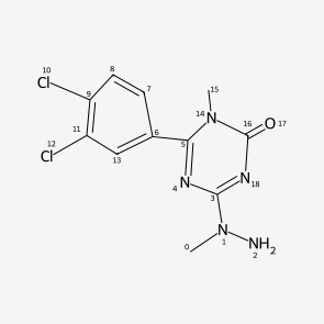 CN(N)c1nc(-c2ccc(Cl)c(Cl)c2)n(C)c(=O)n1